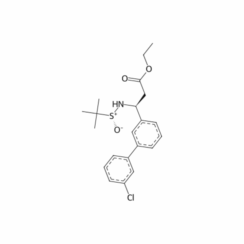 CCOC(=O)C[C@H](N[S@+]([O-])C(C)(C)C)c1cccc(-c2cccc(Cl)c2)c1